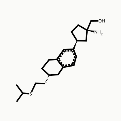 CC(C)SCC[C@@H]1CCc2cc([C@H]3CC[C@](N)(CO)C3)ccc2C1